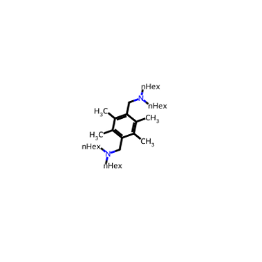 CCCCCCN(CCCCCC)Cc1c(C)c(C)c(CN(CCCCCC)CCCCCC)c(C)c1C